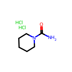 Cl.Cl.NC(=O)N1CCCCC1